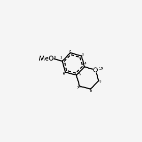 COc1ccc2c(c1)[C]CCO2